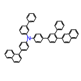 c1ccc(-c2cccc(N(c3ccc(-c4ccc(-c5ccc6ccccc6c5)c(-c5ccccc5)c4)cc3)c3ccc(-c4cccc5ccccc45)cc3)c2)cc1